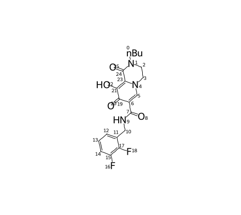 CCCCN1CCn2cc(C(=O)NCc3cccc(F)c3F)c(=O)c(O)c2C1=O